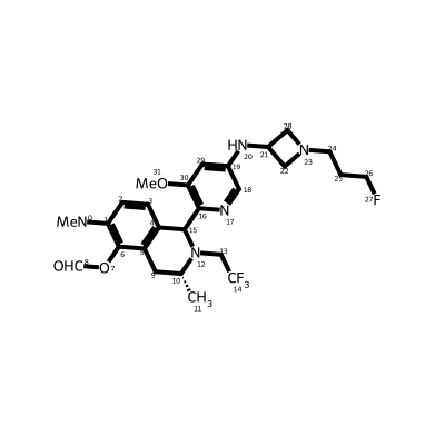 CNc1ccc2c(c1OC=O)C[C@@H](C)N(CC(F)(F)F)C2c1ncc(NC2CN(CCCF)C2)cc1OC